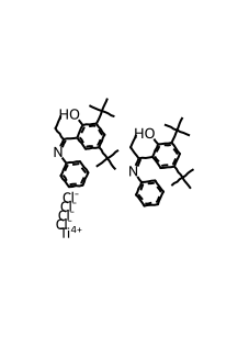 CCC(=Nc1ccccc1)c1cc(C(C)(C)C)cc(C(C)(C)C)c1O.CCC(=Nc1ccccc1)c1cc(C(C)(C)C)cc(C(C)(C)C)c1O.[Cl-].[Cl-].[Cl-].[Cl-].[Ti+4]